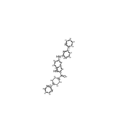 O=C(c1cc2cc(Nc3nccc(-c4ccccn4)n3)ccc2[nH]1)N1CCN(c2ncccn2)CC1